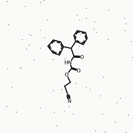 N#CCCOC(=O)NC(=O)C(c1ccccc1)c1ccccc1